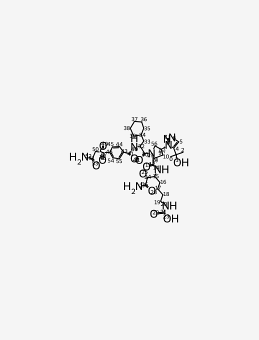 CC(C)(O)c1cnnn1[C@H]1C[C@@H](C(=O)NC(CCCCNC(=O)O)C(=O)C(N)=O)N(C(=O)C(CC2CCCCC2)NC(=O)c2ccc(S(=O)(=O)CC(N)=O)cc2)C1